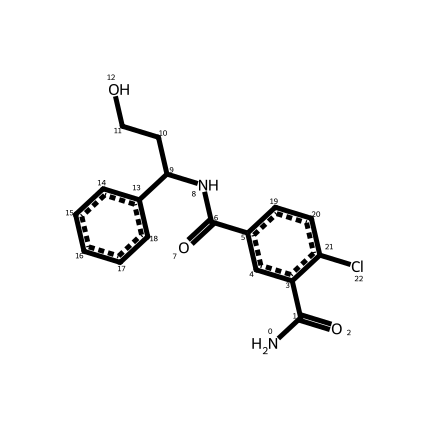 NC(=O)c1cc(C(=O)NC(CCO)c2ccccc2)ccc1Cl